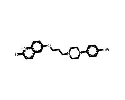 CCCc1ccc(N2CCN(CCCOc3ccc4[nH]c(=O)ccc4c3)CC2)cc1